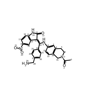 CC(=O)N1CCc2cc(NC(=C3C(=O)Nc4ccc([N+](=O)[O-])cc43)c3ccc(CN)cc3)ccc2C1